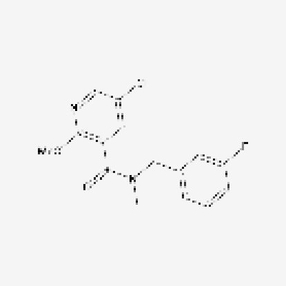 COc1ncc(Cl)cc1C(=O)N(C)Cc1cccc(F)c1